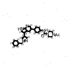 CC(=O)N1CCN(C(=O)Nc2ccc(-c3cnc4[nH]cc(-c5cnn(Cc6ccccc6)c5)c4c3)cc2)CC1